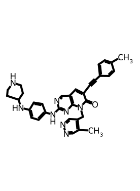 Cc1ccc(C#Cc2cc3cnc(Nc4ccc(NC5CCNCC5)cc4)nc3n(Cc3cnncc3C)c2=O)cc1